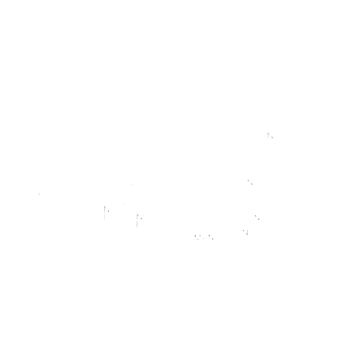 CNc1nn(C)c2nc(C3(C(=O)NCCO)CC3)cc(-c3ccc(NC(=O)Nc4cccc(C(F)(F)F)c4)cc3)c12